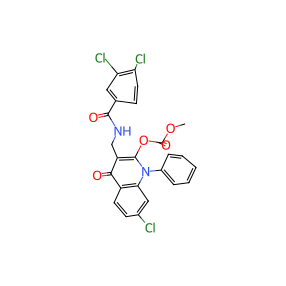 COC(=O)Oc1c(CNC(=O)c2ccc(Cl)c(Cl)c2)c(=O)c2ccc(Cl)cc2n1-c1ccccc1